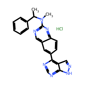 CC(c1ccccc1)N(C)c1ncc2cc(-c3ncnc4[nH]ncc34)ccc2n1.Cl